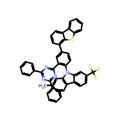 Cc1ccc2c3ccc(C(F)(F)F)cc3n(-c3ccc(-c4cccc5c4sc4ccccc45)cc3-c3nc(-c4ccccc4)nc(-c4ccccc4)n3)c2c1